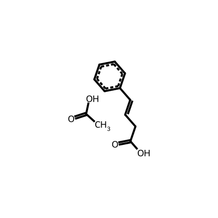 CC(=O)O.O=C(O)CC=Cc1ccccc1